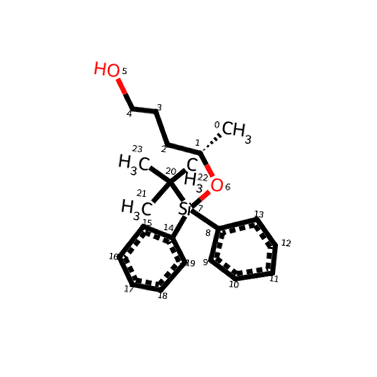 C[C@@H](CCCO)O[Si](c1ccccc1)(c1ccccc1)C(C)(C)C